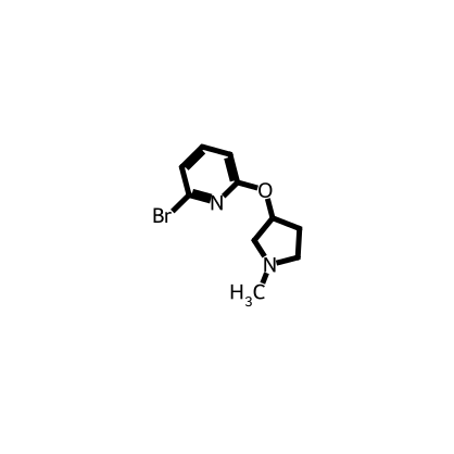 CN1CCC(Oc2cccc(Br)n2)C1